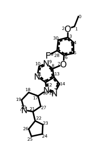 CCOc1ccc(Oc2ncnc3c2cnn3C2CC[N]C(C3CCCC3)C2)c(F)c1